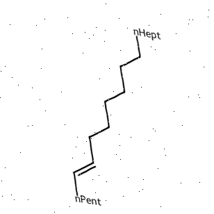 [CH2]CCCCC=CCCCCCCCCCCCCC